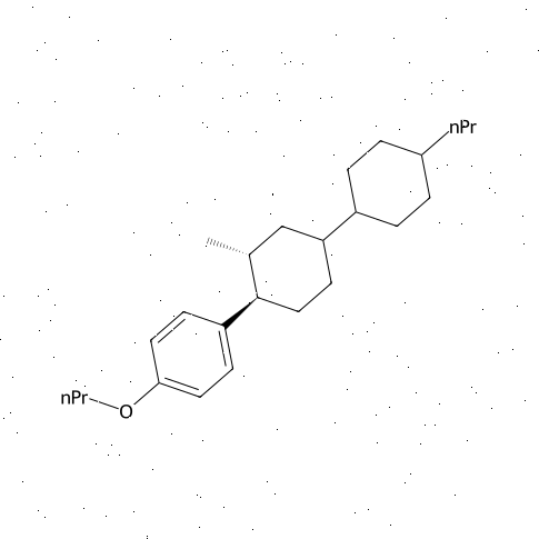 CCCOc1ccc([C@@H]2CCC(C3CCC(CCC)CC3)C[C@H]2C)cc1